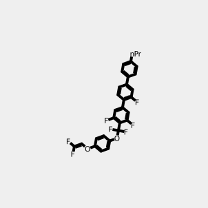 CCCc1ccc(-c2ccc(-c3cc(F)c(C(F)(F)Oc4ccc(OC=C(F)F)cc4)c(F)c3)c(F)c2)cc1